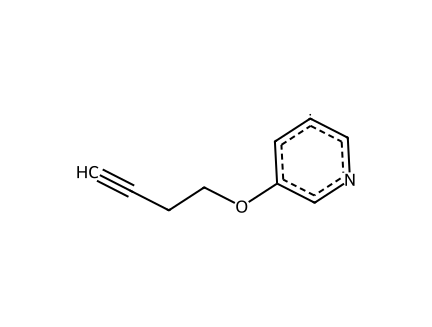 C#CCCOc1c[c]cnc1